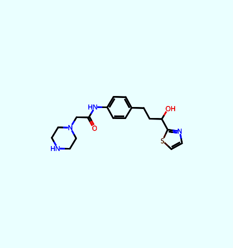 O=C(CN1CCNCC1)Nc1ccc(CCC(O)c2nccs2)cc1